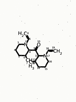 C=CN1CCCC(C)C1C(=O)C1C(C)CCCN1C=C